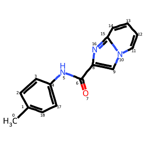 Cc1ccc(NC(=O)c2cn3ccccc3n2)cc1